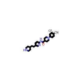 N#Cc1ccc(N2CCC(C(=O)Nc3ccc(CCC4CCNCC4)cn3)CC2)cc1C(F)(F)F